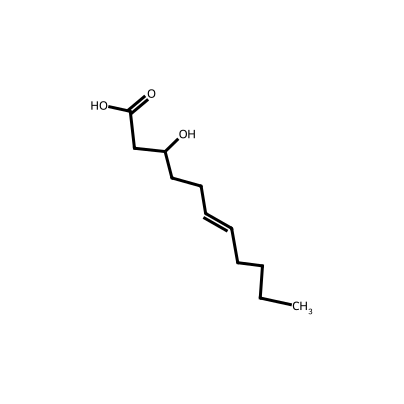 CCCCC=CCCC(O)CC(=O)O